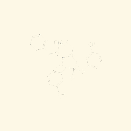 CCOC(=O)CN(CP(=O)(Oc1cccc(C)c1)Oc1cccc(C)c1)C(=O)[S+]([O-])Cc1ccccc1